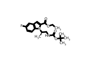 CCOC(=O)c1cc2cc(F)ccc2n1[C@H](C)CNC(=O)OC(C)(C)C